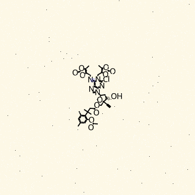 C#CC1(COC(=O)CC(C)(C)c2c(C)cc(C)cc2OC(C)=O)OC(n2cnc3/c(=N/Cc4oc(=O)oc4C)n(Cc4oc(=O)oc4C)c(Cl)nc32)C[C@@H]1CO